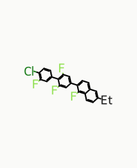 CCc1ccc2c(F)c(-c3cc(F)c(-c4ccc(Cl)c(F)c4)c(F)c3)ccc2c1